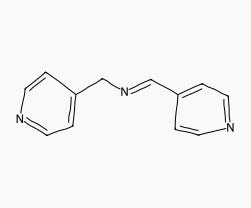 C(=N\Cc1ccncc1)/c1ccncc1